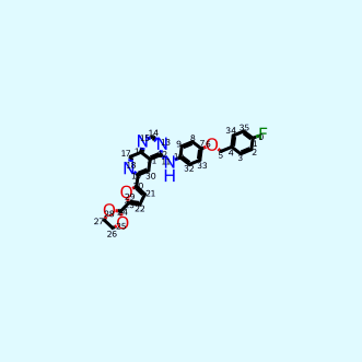 Fc1ccc(COc2ccc(Nc3ncnc4cnc(-c5ccc(C6OCCO6)o5)cc34)cc2)cc1